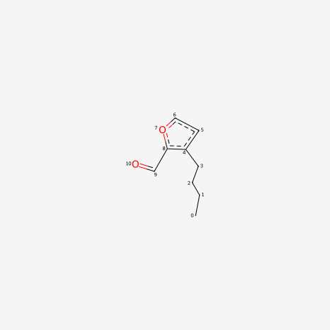 CCCCc1ccoc1C=O